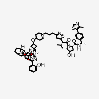 Cc1ncsc1-c1ccc([C@H](C)NC(=O)[C@@H]2C[C@@H](O)CN2C(=O)[C@@H](c2cc(CCCN3CCC(OC4CC(Oc5cc(N6C7CC[C@@H]6CN(c6cc(-c8ccccc8O)nnc6N)C7)ccn5)C4)CC3)no2)C(C)C)cc1